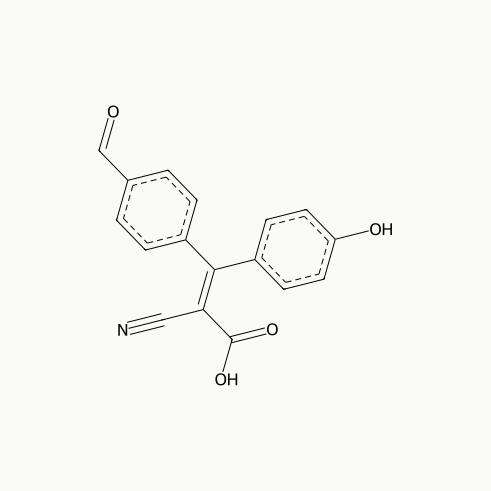 N#C/C(C(=O)O)=C(/c1ccc(O)cc1)c1ccc(C=O)cc1